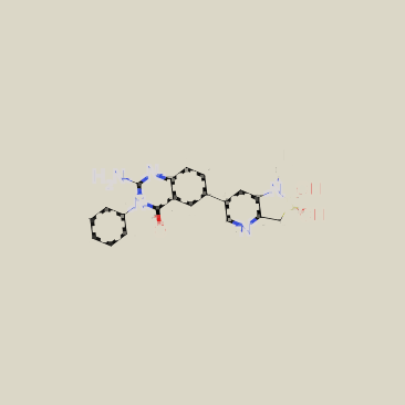 CN1c2cc(-c3ccc4nc(N)n(-c5ccccc5)c(=O)c4c3)cnc2CS1(O)O